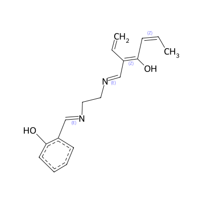 C=CC(/C=N/CC/N=C/c1ccccc1O)=C(O)\C=C/C